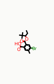 CCC(OC(=O)c1cc(Br)c(C)cc1C(=O)O)C(C)(C)C